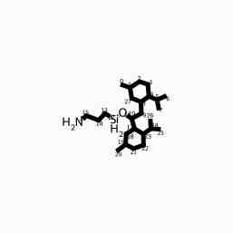 CC1CCC(C(C)C)C(CC(O[SiH2]CCCN)C2CC(C)CCC2C(C)C)C1